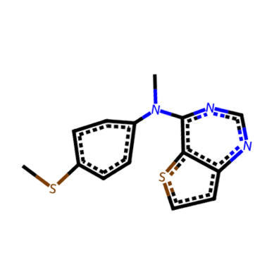 CSc1ccc(N(C)c2ncnc3ccsc23)cc1